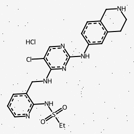 CCS(=O)(=O)Nc1ncccc1CNc1nc(Nc2ccc3c(c2)CCNC3)ncc1Cl.Cl